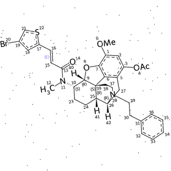 COc1cc(OC(C)=O)c2c3c1O[C@H]1[C@@H](N(C)C(=O)/C=C/c4cc(Br)cs4)CC[C@H]4[C@@H](C2)N(CCc2ccccc2)CC[C@@]341